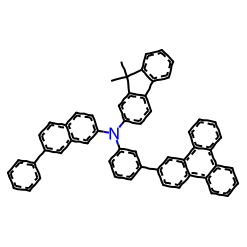 CC1(C)c2ccccc2-c2ccc(N(c3cccc(-c4ccc5c6ccccc6c6ccccc6c5c4)c3)c3ccc4ccc(-c5ccccc5)cc4c3)cc21